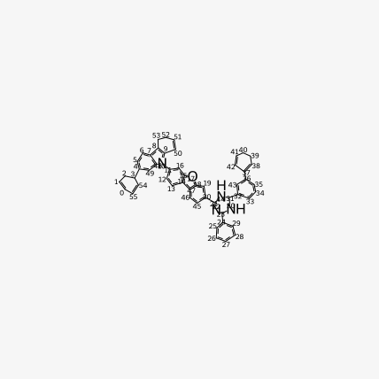 C1=CCC(c2ccc3c4c(n(-c5ccc6c(c5)oc5cc(C7=NC(c8ccccc8)NC(c8cccc(C9=CCCC=C9)c8)N7)ccc56)c3c2)C=CCC4)C=C1